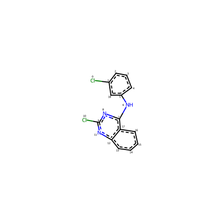 Clc1cccc(Nc2nc(Cl)nc3ccccc23)c1